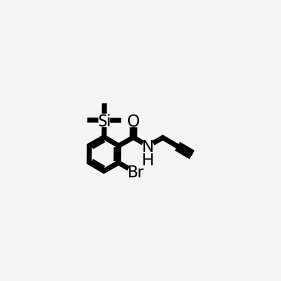 C#CCNC(=O)c1c(Br)cccc1[Si](C)(C)C